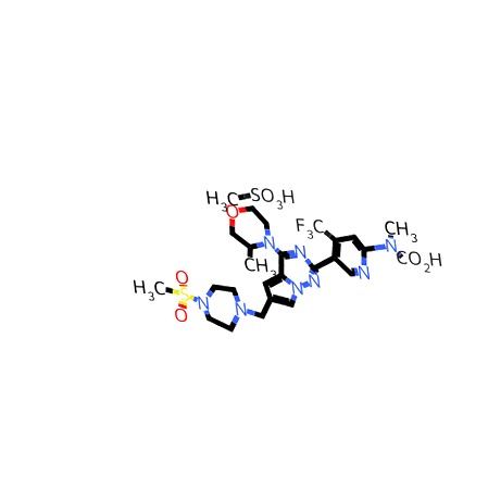 CC1COCCN1c1nc(-c2cnc(N(C)C(=O)O)cc2C(F)(F)F)nn2cc(CN3CCN(S(C)(=O)=O)CC3)cc12.CS(=O)(=O)O